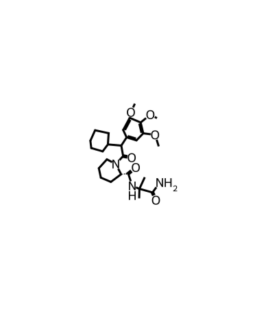 COc1cc(C(C(=O)N2CCCC[C@H]2C(=O)NC(C)(C)C(N)=O)C2CCCCC2)cc(OC)c1OC